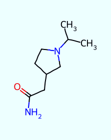 CC(C)N1CCC(CC(N)=O)C1